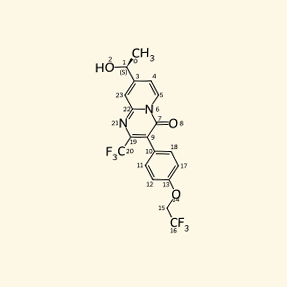 C[C@H](O)c1ccn2c(=O)c(-c3ccc(OCC(F)(F)F)cc3)c(C(F)(F)F)nc2c1